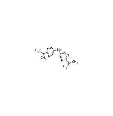 CN(C)c1ccc(Nc2cnc(N(C)C)nc2)cn1